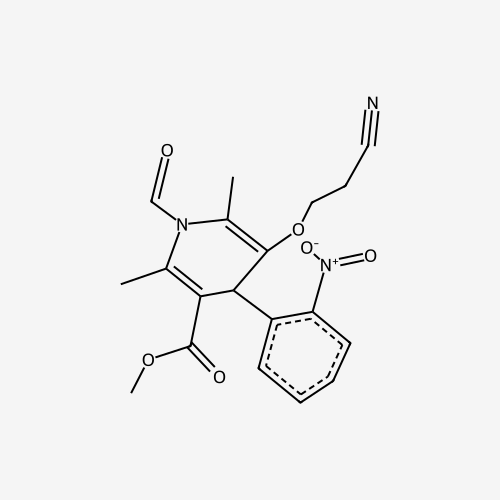 COC(=O)C1=C(C)N(C=O)C(C)=C(OCCC#N)C1c1ccccc1[N+](=O)[O-]